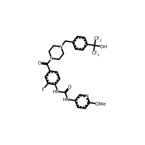 COc1ccc(NC(=O)Nc2ccc(C(=O)N3CCN(Cc4ccc(C(O)(C(F)(F)F)C(F)(F)F)cc4)CC3)cc2F)cn1